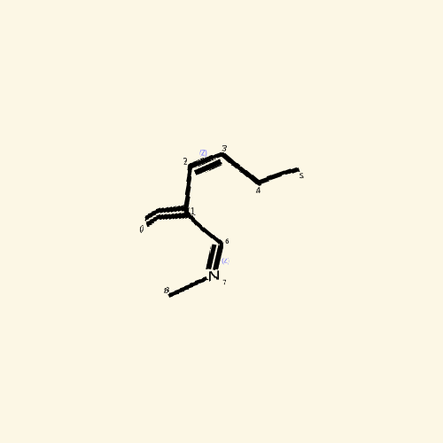 C=C(/C=C\CC)/C=N\C